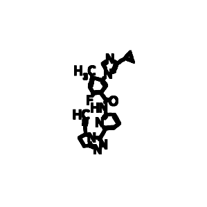 C#CC1CCc2nnc(-c3cccc(NC(=O)c4cc(-n5cnc(C6CC6)c5)c(C)cc4F)n3)n21